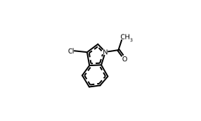 CC(=O)n1cc(Cl)c2ccccc21